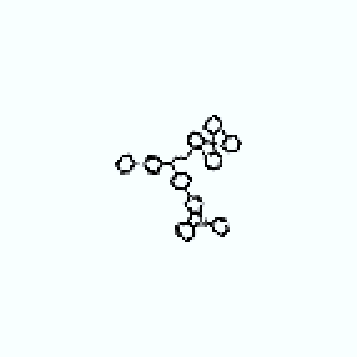 c1ccc(-c2ccc(C(CCc3cccc4c3-c3ccccc3C43c4ccccc4-c4ccccc43)c3ccc(-c4ccc5c(c4)c4ccccc4n5-c4ccccc4)cc3)cc2)cc1